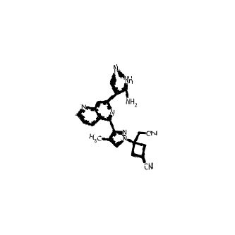 Cc1cn(C2(CC#N)CC(C#N)C2)nc1-c1nc(-c2cn[nH]c2N)cc2ncccc12